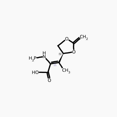 C=C1OC[C@H](/C(C)=C(\NP)C(=O)O)O1